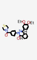 CCOc1ccc(C2=NN(c3ccc(C(=O)N4CCSCC4)cc3)C(=O)[C@@H]3CC=CC[C@H]23)cc1OCC